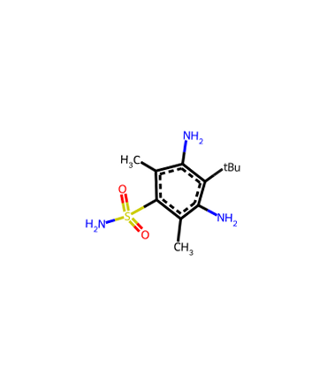 Cc1c(N)c(C(C)(C)C)c(N)c(C)c1S(N)(=O)=O